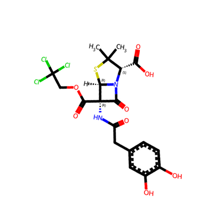 CC1(C)S[C@H]2N(C(=O)[C@@]2(NC(=O)Cc2ccc(O)c(O)c2)C(=O)OCC(Cl)(Cl)Cl)[C@H]1C(=O)O